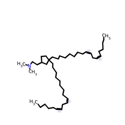 CCCCC/C=C\C/C=C\CCCCCCCCC1(CCCCCCCC/C=C\C/C=C\CCCCC)CCC(CCN(C)C)C1